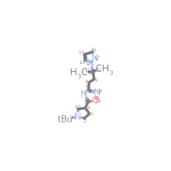 CC(C)(C)N1CCC(c2nc(CCC(C)(C)n3cccn3)no2)C1